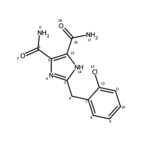 NC(=O)c1nc(Cc2ccccc2Cl)[nH]c1C(N)=O